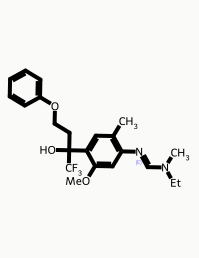 CCN(C)/C=N/c1cc(OC)c(C(O)(CCOc2ccccc2)C(F)(F)F)cc1C